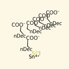 CCCCCCCCCCCC(=O)[O-].CCCCCCCCCCCC(=O)[O-].CCCCCCCCCCCC(=O)[O-].CCCCCCCCCCCC(=O)[O-].CCCCCCCCCCCC(=O)[O-].CCCCCCCCCCCC(=O)[O-].[S+2].[Sn+4]